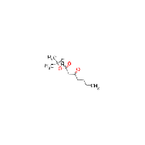 CCCCC(=O)CC(=O)OC(C)(C)C